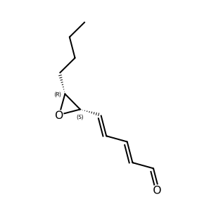 CCCC[C@H]1O[C@H]1C=CC=CC=O